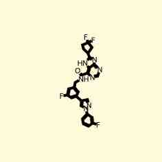 O=C(NCc1cc(F)cc(-c2cnn(-c3cccc(F)c3)c2)c1)c1ncnc2nc(C3CCC(F)(F)C3)[nH]c12